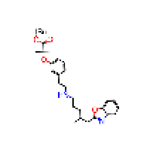 CC(CCCNCCc1cccc(OC(C)(C)C(=O)OC(C)(C)C)c1)Cc1nc2ccccc2o1